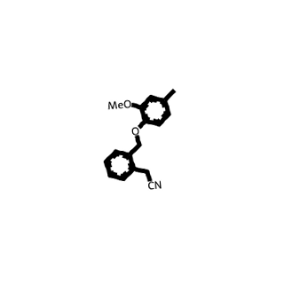 COc1cc(C)ccc1OCc1ccccc1CC#N